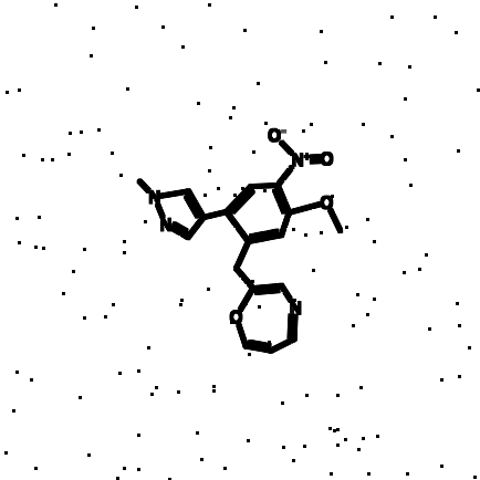 COc1cc(CC2=CN=CC=CO2)c(-c2cnn(C)c2)cc1[N+](=O)[O-]